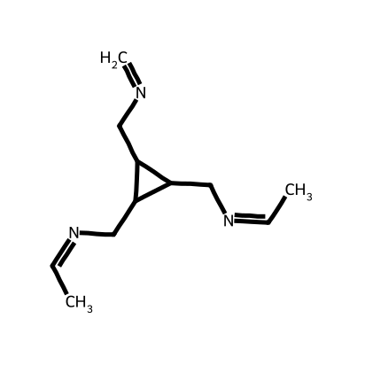 C=NCC1C(C/N=C\C)C1C/N=C\C